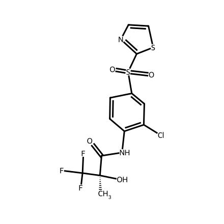 C[C@@](O)(C(=O)Nc1ccc(S(=O)(=O)c2nccs2)cc1Cl)C(F)(F)F